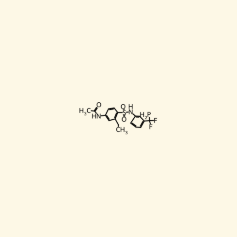 CCc1cc(NC(C)=O)ccc1S(=O)(=O)Nc1cccc(C(F)(F)P)c1